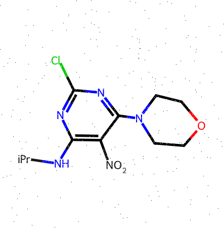 CC(C)Nc1nc(Cl)nc(N2CCOCC2)c1[N+](=O)[O-]